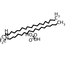 CCCCCCCCCCCCCCCCCCNC.CCCCCCCCCCCCCCCCCCNC.O=S(=O)(O)O